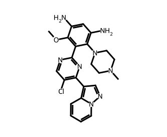 COc1c(N)cc(N)c(N2CCN(C)CC2)c1-c1ncc(Cl)c(-c2cnn3ccccc23)n1